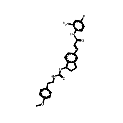 COc1ccc(CCNC(=O)OC2CCc3cc(/C=C/C(=O)Nc4ccc(F)cc4N)ccc32)cc1